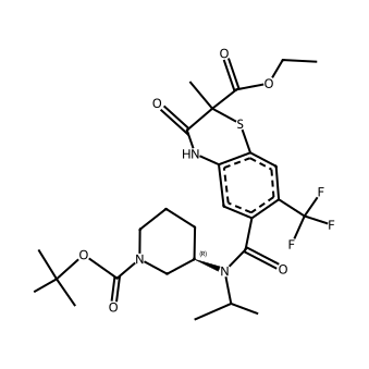 CCOC(=O)C1(C)Sc2cc(C(F)(F)F)c(C(=O)N(C(C)C)[C@@H]3CCCN(C(=O)OC(C)(C)C)C3)cc2NC1=O